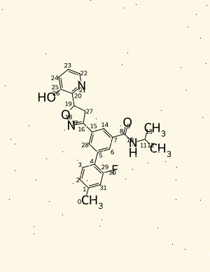 Cc1ccc(-c2cc(C(=O)NC(C)C)cc(C3=NOC(c4ncccc4O)C3)c2)c(F)c1